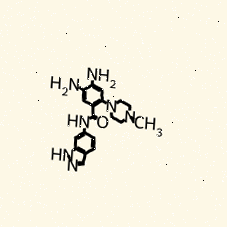 CN1CCN(c2cc(N)c(N)cc2C(=O)Nc2ccc3cn[nH]c3c2)CC1